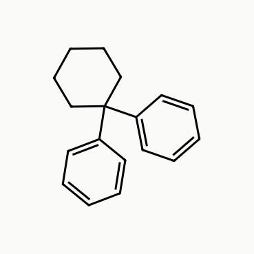 c1ccc(C2(c3ccccc3)CCCCC2)cc1